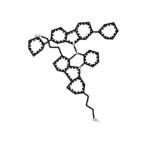 CCCCc1ccc2c3ccc(CCCC)c4c3n(c2c1)-c1ccccc1B4n1c2cc(-c3ccccc3)ccc2c2ccc(-c3ccccc3)cc21